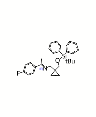 C/C(=N\CC1(CO[Si](c2ccccc2)(c2ccccc2)C(C)(C)C)CC1)c1ccc(F)cc1